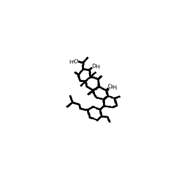 CCC1CCC(CCC(C)C)CC1C1CCC(C)C2C(O)C3C(C)C4(C)C(O)C(C(C)O)C(C)CC4(C)CC3(C)CC12